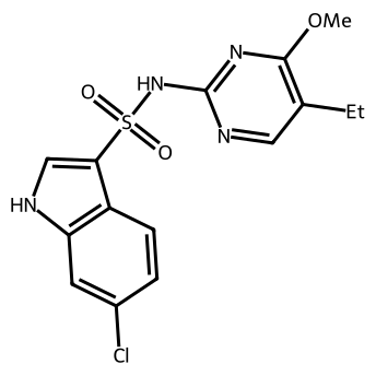 CCc1cnc(NS(=O)(=O)c2c[nH]c3cc(Cl)ccc23)nc1OC